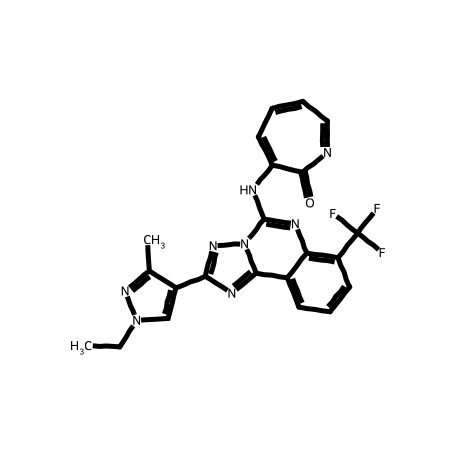 CCn1cc(-c2nc3c4cccc(C(F)(F)F)c4nc(Nc4ccccnc4=O)n3n2)c(C)n1